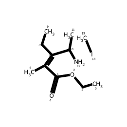 CCOC(=O)C(C)=C(CC)C(C)N.CI